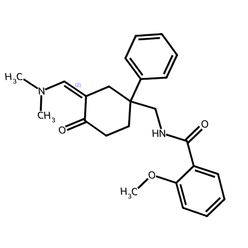 COc1ccccc1C(=O)NCC1(c2ccccc2)CCC(=O)/C(=C\N(C)C)C1